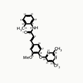 COc1cc(C=CC(=O)Nc2ccccc2C)ccc1Oc1cc(C(F)(F)F)nc(C)n1